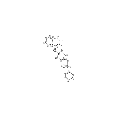 O=C(Cc1ccccc1)CN1CCC(Oc2cccc3ccccc23)CC1